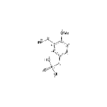 COc1ccc(CP(=O)(O)O)cc1CC(C)C